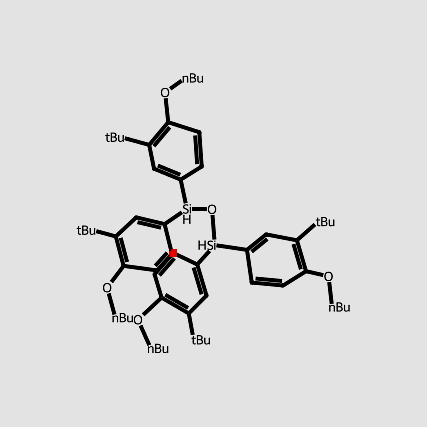 CCCCOc1ccc([SiH](O[SiH](c2ccc(OCCCC)c(C(C)(C)C)c2)c2ccc(OCCCC)c(C(C)(C)C)c2)c2ccc(OCCCC)c(C(C)(C)C)c2)cc1C(C)(C)C